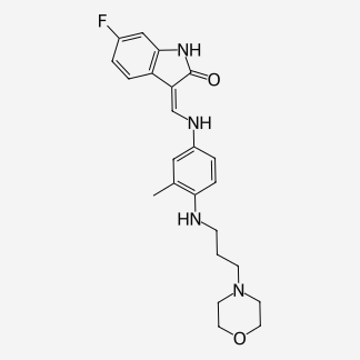 Cc1cc(N/C=C2\C(=O)Nc3cc(F)ccc32)ccc1NCCCN1CCOCC1